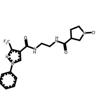 O=C(NCCNC(=O)C1CCN(Cl)C1)c1cn(-c2ccccc2)nc1C(F)(F)F